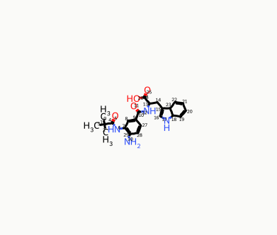 CC(C)(C)C(=O)Nc1cc(C(=O)NC(CC2=CNC3C=CC=CC23)C(=O)O)ccc1N